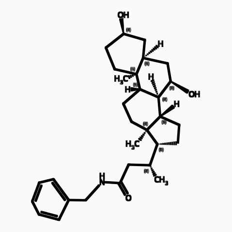 C[C@H](CC(=O)NCc1ccccc1)[C@H]1CC[C@H]2[C@@H]3[C@H](O)C[C@@H]4C[C@H](O)CC[C@]4(C)[C@H]3CC[C@]12C